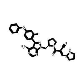 N#CC(=C[C@@H]1CCCN1)C(=O)N1CCC[C@@H]1Cn1nc(-c2ccc(Oc3ccccc3)cc2F)c2c(N)ncnc21